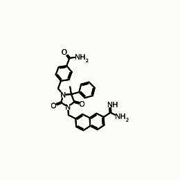 CC1(c2ccccc2)C(=O)N(Cc2ccc3ccc(C(=N)N)cc3c2)C(=O)N1Cc1ccc(C(N)=O)cc1